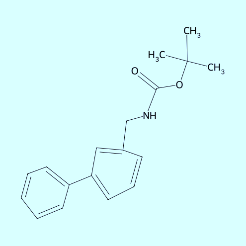 CC(C)(C)OC(=O)NCc1cccc(-c2ccccc2)c1